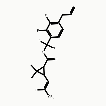 C=CCc1ccc(C(F)(F)OC(=O)C2C(C=C(F)C(F)(F)F)C2(C)C)c(F)c1F